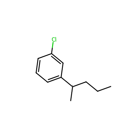 CCC[C](C)c1cccc(Cl)c1